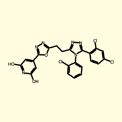 Oc1cc(-c2nnc(CCc3nnc(-c4ccc(Cl)cc4Cl)n3-c3ccccc3Cl)o2)cc(O)n1